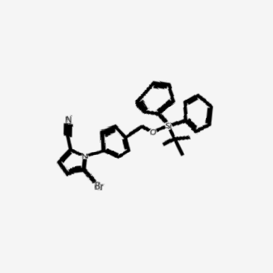 CC(C)(C)[Si](OCc1ccc(-n2c(Br)ccc2C#N)cc1)(c1ccccc1)c1ccccc1